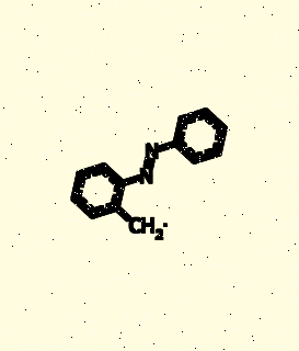 [CH2]c1ccccc1/N=N/c1ccccc1